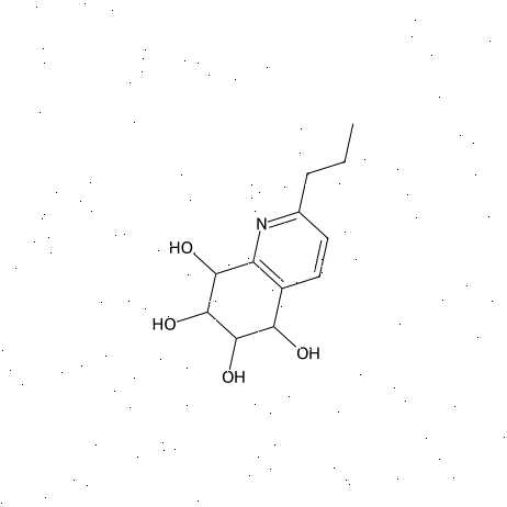 CCCc1ccc2c(n1)C(O)C(O)C(O)C2O